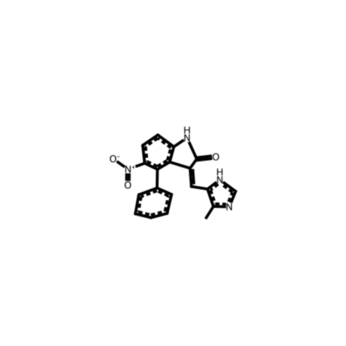 Cc1nc[nH]c1C=C1C(=O)Nc2ccc([N+](=O)[O-])c(-c3ccccc3)c21